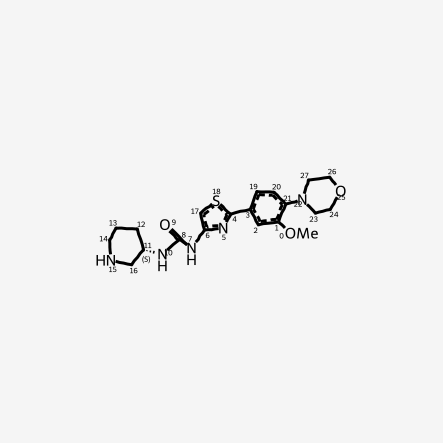 COc1cc(-c2nc(NC(=O)N[C@H]3CCCNC3)cs2)ccc1N1CCOCC1